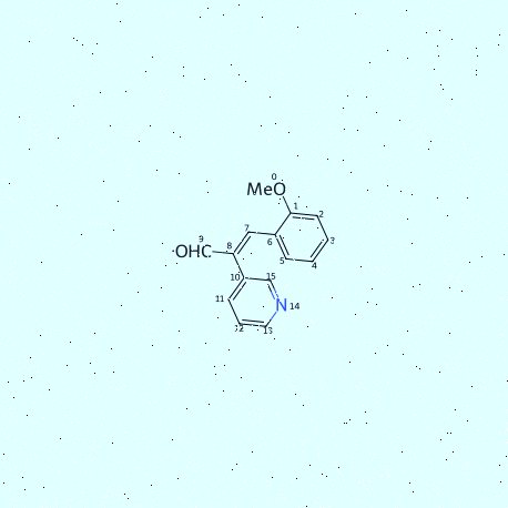 COc1ccccc1C=C([C]=O)c1cccnc1